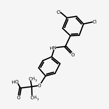 CC(C)(Oc1ccc(NC(=O)c2cc(Cl)cc(Cl)c2)cc1)C(=O)O